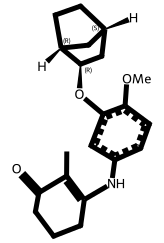 COc1ccc(NC2=C(C)C(=O)CCC2)cc1O[C@@H]1C[C@H]2CC[C@@H]1C2